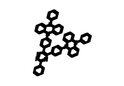 c1ccc(B2c3ccccc3N(c3ccc(-c4nnc(-c5ccccc5)nc4-c4ccc(N5c6ccccc6B(c6ccccc6)c6ccccc65)cc4)cc3)c3ccccc32)cc1